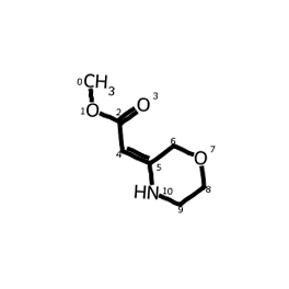 COC(=O)C=C1COCCN1